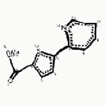 COC(=O)c1ccc(-c2ccccn2)s1